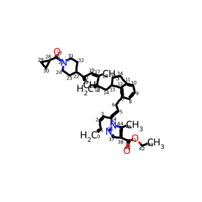 C=C/C=C\C(=C/Cc1cccc2c1C(CC(=C)/C(C)=C\C(=C)C1CCN(C(=O)C3CC3)CC1)CC2)n1ncc(C(=O)OCC)c1C